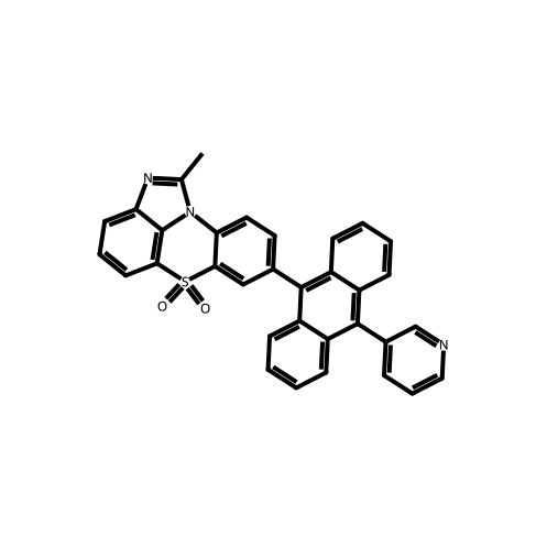 Cc1nc2cccc3c2n1-c1ccc(-c2c4ccccc4c(-c4cccnc4)c4ccccc24)cc1S3(=O)=O